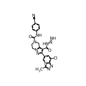 Cc1nnc2c(Cl)cc(-c3nn4c(c3C(=O)NN=N)CN(C(=O)Nc3ccc(C#N)cc3)CC4)cn12